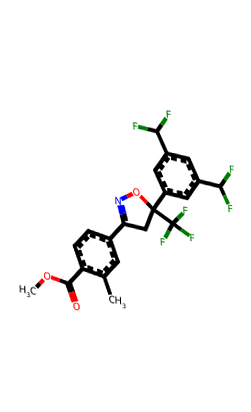 COC(=O)c1ccc(C2=NOC(c3cc(C(F)F)cc(C(F)F)c3)(C(F)(F)F)C2)cc1C